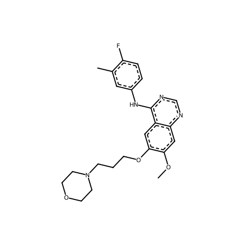 COc1cc2ncnc(Nc3ccc(F)c(C)c3)c2cc1OCCCN1CCOCC1